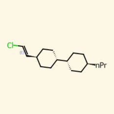 CCC[C@H]1CC[C@H]([C@H]2CC[C@H](/C=C/Cl)CC2)CC1